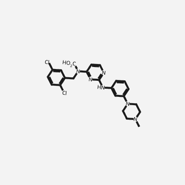 CN1CCN(c2cccc(Nc3nccc(N(Cc4cc(Cl)ccc4Cl)C(=O)O)n3)c2)CC1